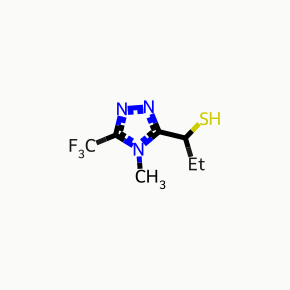 [CH2]CC(S)c1nnc(C(F)(F)F)n1C